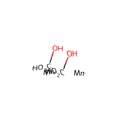 O=C(O)O.O=C(O)O.[Mn].[Mn]